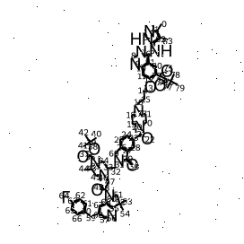 Cc1n[nH]c(Nc2ncnc3cc(OCCCN4CCN(C(=O)c5ccc6c(c5)C(=O)N(CC5CN(C(=O)OC(C)(C)C)C(C)CN5CC(=O)N5CC(C)(C)c7ncc(Cc8ccc(F)cc8)cc75)C6)CC4)c(S(=O)(=O)C(C)(C)C)cc23)c1C